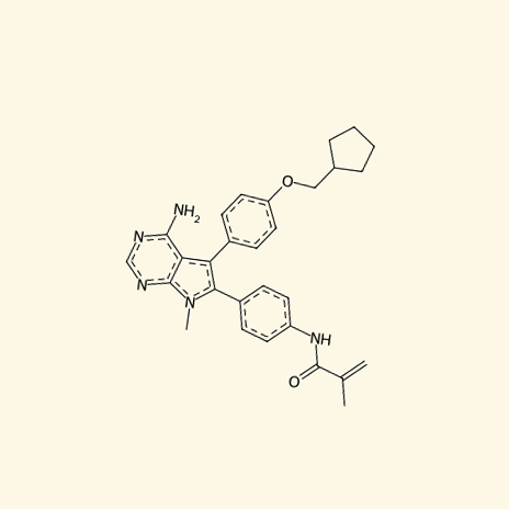 C=C(C)C(=O)Nc1ccc(-c2c(-c3ccc(OCC4CCCC4)cc3)c3c(N)ncnc3n2C)cc1